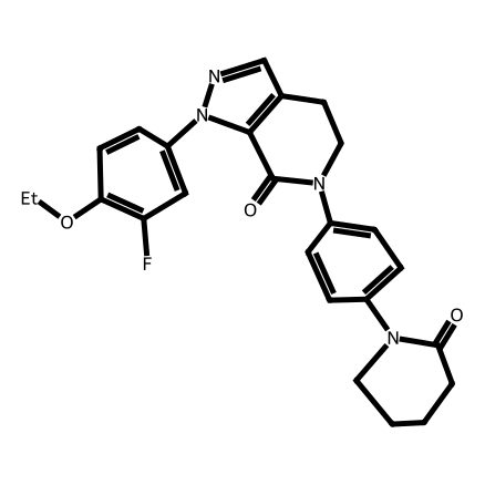 CCOc1ccc(-n2ncc3c2C(=O)N(c2ccc(N4CCCCC4=O)cc2)CC3)cc1F